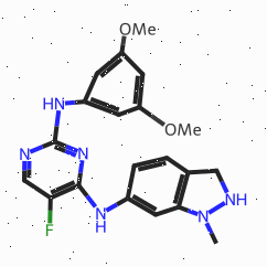 COc1cc(Nc2ncc(F)c(Nc3ccc4c(c3)N(C)NC4)n2)cc(OC)c1